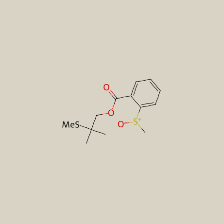 CSC(C)(C)COC(=O)c1ccccc1[S+](C)[O-]